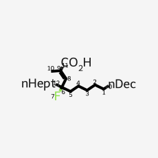 CCCCCCCCCCCCCCCC(F)(C=C(C)C(=O)O)CCCCCCC